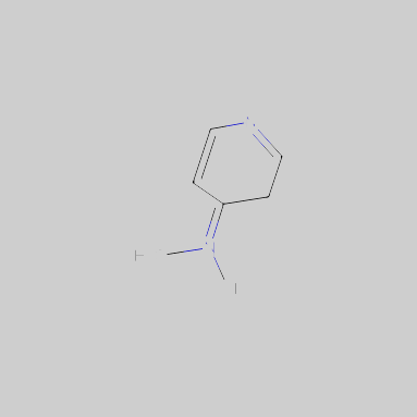 C[N+](C)=C1C=CN=CC1